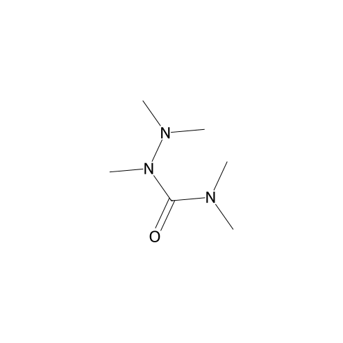 CN(C)C(=O)N(C)N(C)C